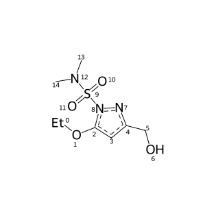 CCOc1cc(CO)nn1S(=O)(=O)N(C)C